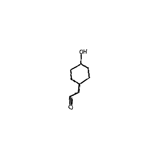 O=CCC1CCC(O)CC1